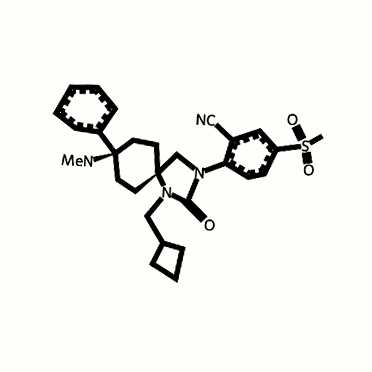 CN[C@]1(c2ccccc2)CC[C@@]2(CC1)CN(c1ccc(S(C)(=O)=O)cc1C#N)C(=O)N2CC1CCC1